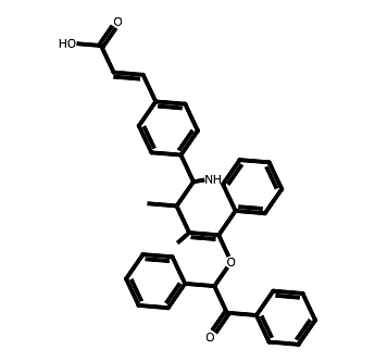 CC(=C(OC(C(=O)c1ccccc1)c1ccccc1)c1ccccc1)C(C)C(N)c1ccc(C=CC(=O)O)cc1